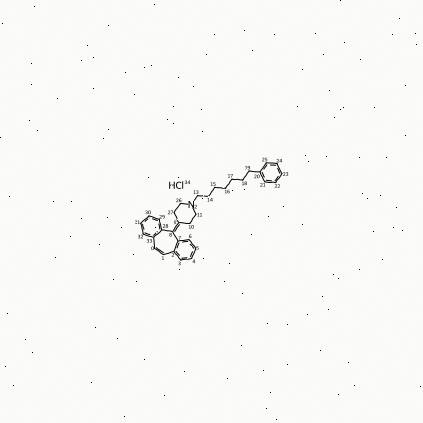 C1=Cc2ccccc2C(=C2CCN(CCCCCCCc3ccccc3)CC2)c2ccccc21.Cl